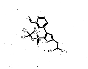 CC(C)Cc1cc(-c2cccc(C=O)c2)c(S(=O)(=O)NC(C)(C)C)s1